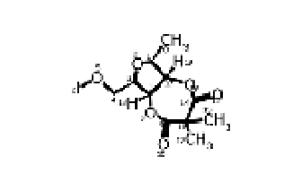 C[C@@H]1O[C@H](COI)[C@H]2OC(=O)C(C)(C)C(=O)O[C@H]21